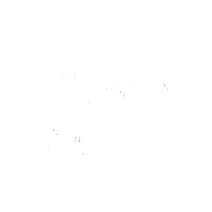 CCN1C(=O)C(C)(C)C(=O)N(C)c2cc(OCCCN(CCc3cccnc3)S(=O)(=O)c3ccccc3)ccc21.Cl